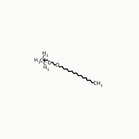 CCCCCCCCCCCCCCCCOCCOCC(C)(C)C